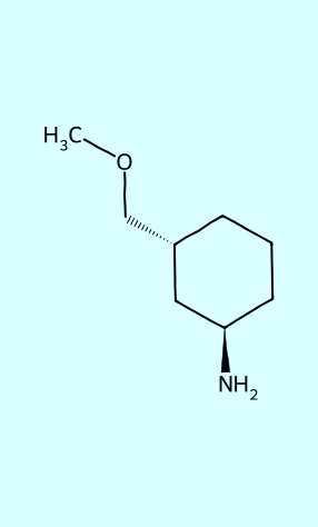 COC[C@@H]1CCC[C@@H](N)C1